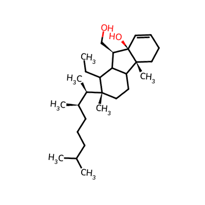 CCC1C2C(CC[C@]1(C)[C@H](C)[C@H](C)CCCC(C)C)[C@@]1(C)CCC=C[C@@]1(O)[C@@H]2CO